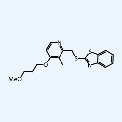 COCCCOc1ccnc(CSc2nc3ccccc3s2)c1C